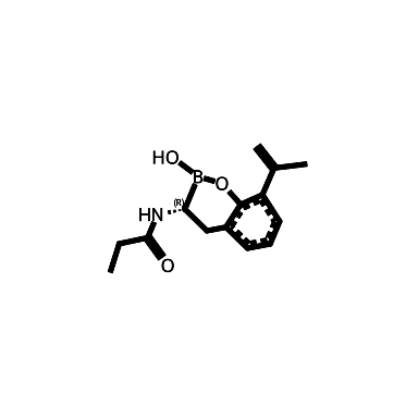 C=C(C)c1cccc2c1OB(O)[C@@H](NC(=O)CC)C2